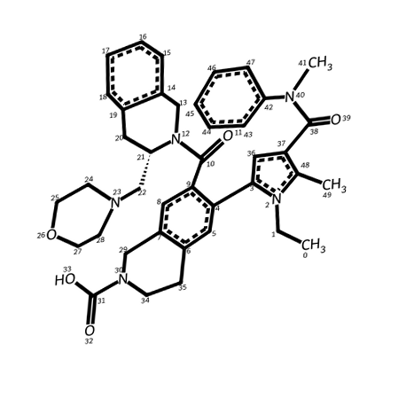 CCn1c(-c2cc3c(cc2C(=O)N2Cc4ccccc4C[C@H]2CN2CCOCC2)CN(C(=O)O)CC3)cc(C(=O)N(C)c2ccccc2)c1C